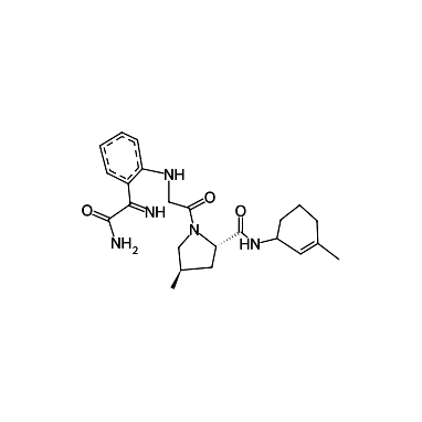 CC1=CC(NC(=O)[C@@H]2C[C@@H](C)CN2C(=O)CNc2ccccc2C(=N)C(N)=O)CCC1